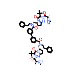 CN[C@@H](C)C(=O)N[C@H](C(=O)N1CCC[C@H]1CN(CCc1ccccc1)C(=O)c1cccc(-c2cccc(C(=O)N(CCc3ccccc3)C[C@@H]3CCCN3C(=O)[C@@H](NC(=O)[C@H](C)NC)C(C)(C)C)c2)c1)C(C)(C)C